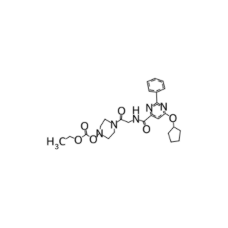 CCOC(=O)ON1CCN(C(=O)CNC(=O)c2cc(OC3CCCC3)nc(-c3ccccc3)n2)CC1